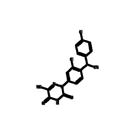 N#Cc1nn(-c2ccc(C(C#N)c3ccc(Cl)cc3)c(Cl)c2)c(=O)[nH]c1=O